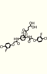 O=C(COc1ccc(Cl)c(F)c1)NC12CCC(NC(=O)COc3ccc(Cl)c(F)c3)(CC1)[C@@H](OC(=O)CCC(O)O)C2